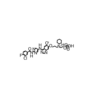 COc1cc2c(Nc3cnc(NC(=O)c4ccc(F)c(Cl)c4)nc3)ncnc2cc1OCCCN(CCOP(=O)(O)O)C1CCCCC1